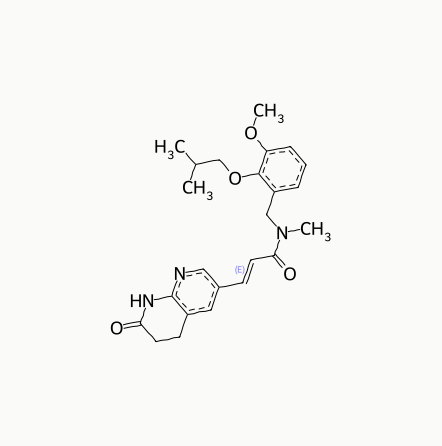 COc1cccc(CN(C)C(=O)/C=C/c2cnc3c(c2)CCC(=O)N3)c1OCC(C)C